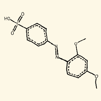 COc1ccc(N=Nc2ccc(S(=O)(=O)O)cc2)c(OC)c1